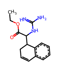 CCOC(=O)C(NC(=N)N)C1CC=Cc2ccccc21